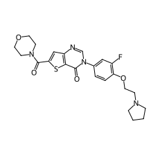 O=C(c1cc2ncn(-c3ccc(OCCN4CCCC4)c(F)c3)c(=O)c2s1)N1CCOCC1